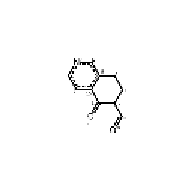 O=CC1CCc2cnccc2C1=O